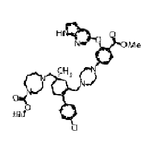 COC(=O)c1ccc(N2CCN(CC3=C(c4ccc(Cl)cc4)CC[C@@](C)(CN4CCCN(C(=O)OC(C)(C)C)CC4)C3)CC2)cc1Oc1cnc2[nH]ccc2c1